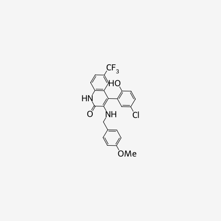 COc1ccc(CNc2c(-c3cc(Cl)ccc3O)c3cc(C(F)(F)F)ccc3[nH]c2=O)cc1